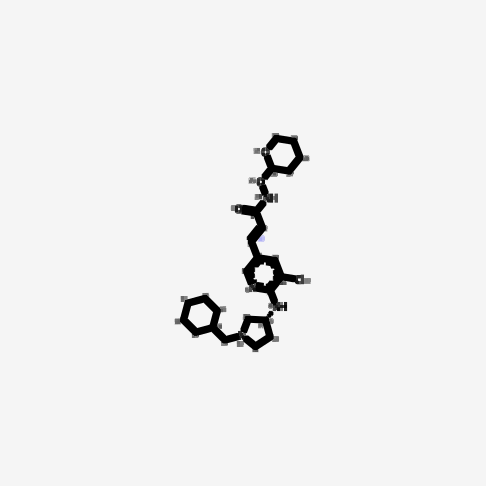 O=C(/C=C/c1cnc(N[C@@H]2CCN(CC3CCCCC3)C2)c(Cl)c1)NOC1CCCCO1